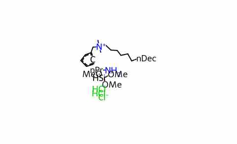 CCCCCCCCCCCCCCCC[N+](C)(C)Cc1ccccc1.CCCN.CO[SiH](OC)OC.Cl.Cl.[Cl-]